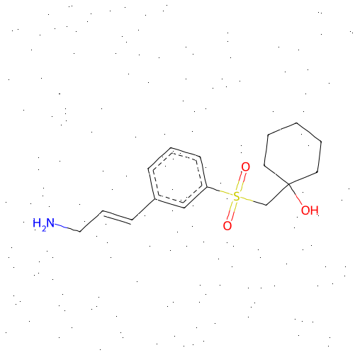 NCC=Cc1cccc(S(=O)(=O)CC2(O)CCCCC2)c1